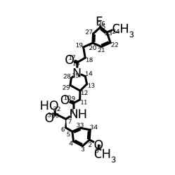 COc1ccc(C[C@H](NC(=O)CC2CCN(C(=O)CCc3ccc(C)c(F)c3)CC2)C(=O)O)cc1